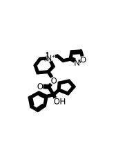 C[N@+]1(CCc2ccon2)CCCC(OC(=O)C(O)(c2ccccc2)C2CCCC2)C1